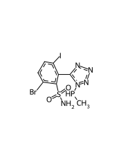 CPn1nnnc1-c1c(I)ccc(Br)c1S(N)(=O)=O